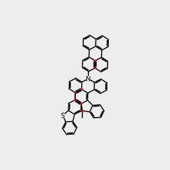 CC1(C)c2ccccc2-c2c(-c3ccccc3N(c3ccc(-c4cccc5cccc(-c6ccccc6)c45)cc3)c3cccc(-c4ccc5c(c4)sc4ccccc45)c3)cccc21